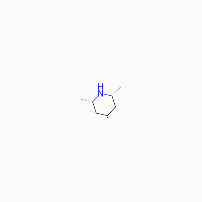 C[C@@H]1C[CH]C[C@H](C)N1